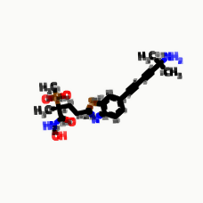 CC(C)(N)C#CC#Cc1ccc2nc(CC[C@](C)(C(=O)NO)S(C)(=O)=O)sc2c1